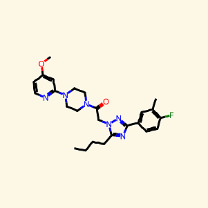 CCCCc1nc(-c2ccc(F)c(C)c2)nn1CC(=O)N1CCN(c2cc(OC)ccn2)CC1